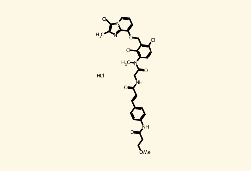 COCCC(=O)Nc1ccc(C=CC(=O)NCC(=O)N(C)c2ccc(Cl)c(COc3cccn4c(Cl)c(C)nc34)c2Cl)cc1.Cl